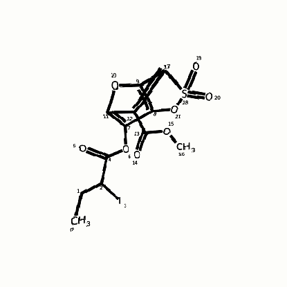 CCC(I)C(=O)Oc1c2c3oc1c(C(=O)OC)c3S(=O)(=O)O2